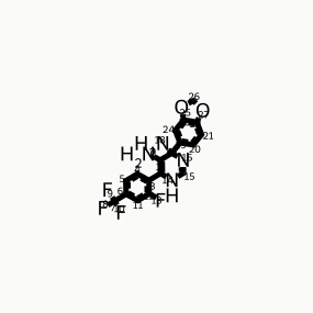 NC1=C(c2ccc(C(F)(F)F)cc2F)NC=NC1(N)c1ccc2c(c1)OCO2